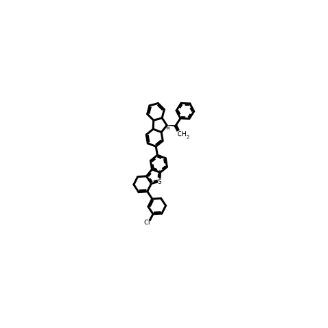 C=C(c1ccccc1)[C@@H]1C2C=CC=CC2C2C=CC(c3ccc4sc5c(c4c3)CCC=C5C3=CC(Cl)=CCC3)=CC21